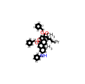 CC(C)CCC[C@@H](C)C1(C(=O)OCc2ccccc2)CCC2C3(C(=O)OCc4ccccc4)CC=C4C[C@@H](Nc5ccccc5)CC[C@]4(C)C3CC[C@@]21C